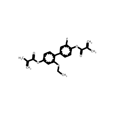 C=C(C)C(=O)Oc1ccc(-c2ccc(OC(=O)C(=C)C)c(F)c2)c(SCC)c1